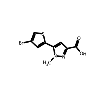 Cn1nc(C(=O)O)cc1-c1cc(Br)cs1